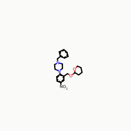 O=[N+]([O-])c1ccc(N2CCN(Cc3ccccc3)CC2)c(COC2CCCCO2)c1